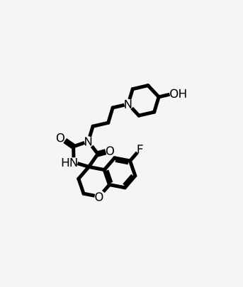 O=C1NC2(CCOc3ccc(F)cc32)C(=O)N1CCCN1CCC(O)CC1